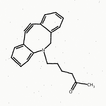 CC(=O)CCCCN1Cc2ccccc2C#Cc2ccccc21